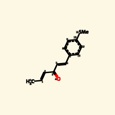 C/C=C/C(=O)/C=C/c1ccc(SC)cc1